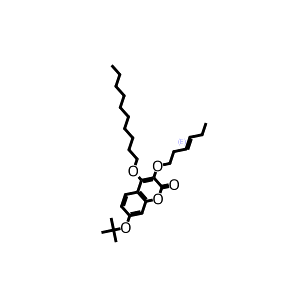 CC/C=C/CCOc1c(OCCCCCCCCCC)c2ccc(OC(C)(C)C)cc2oc1=O